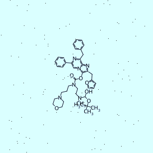 CN(CCN(CCCN1CCOCC1)C(=O)Oc1c(Cc2ccco2)nc2c(Cc3ccccc3)nc(-c3ccccc3)cn12)C(O)OC(C)(C)C